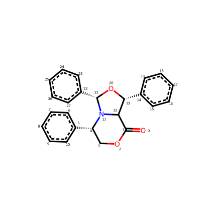 O=C1OC[C@H](c2ccccc2)N2C1[C@@H](c1ccccc1)O[C@H]2c1ccccc1